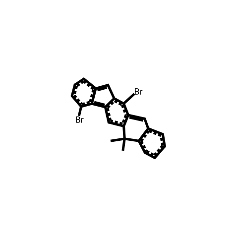 CC1(C)c2ccccc2C=c2c1cc1c(c2Br)C=c2cccc(Br)c2=1